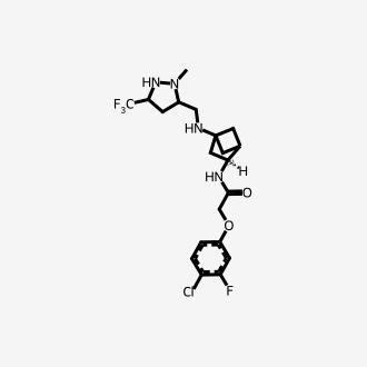 CN1NC(C(F)(F)F)CC1CNC12CC(C1)[C@@H](NC(=O)COc1ccc(Cl)c(F)c1)C2